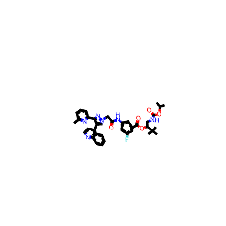 Cc1cccc(-c2nn(CC(=O)Nc3cc(F)cc(C(=O)OC(CNC(=O)OC(C)C)C(C)(C)C)c3)cc2-c2ccnc3ccccc23)n1